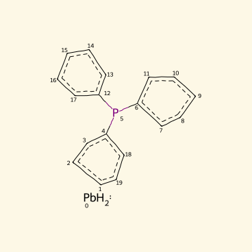 [PbH2].c1ccc(P(c2ccccc2)c2ccccc2)cc1